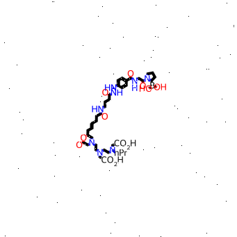 CCCN(CCN(CCN1CC(=O)OC(C/C=C/CCC(=O)NCCCC(=O)NNc2ccc(C(=O)NCC(=O)N3CCC[C@H]3B(O)O)cc2)C1)CC(=O)O)CC(=O)O